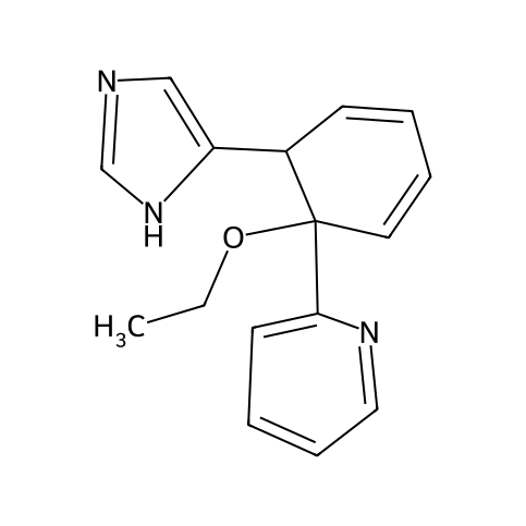 CCOC1(c2ccccn2)C=CC=CC1c1cnc[nH]1